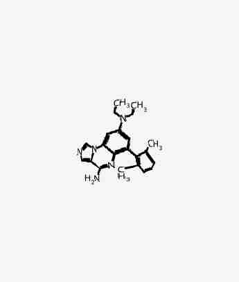 CCN(CC)c1cc(-c2c(C)cccc2C)c2nc(N)c3cncn3c2c1